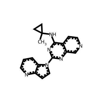 CC1(Nc2nc(-n3ccc4ncccc43)nc3cnccc23)CC1